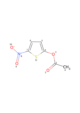 CC(=O)Oc1ccc([N+](=O)[O-])s1